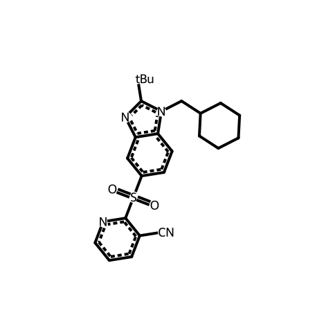 CC(C)(C)c1nc2cc(S(=O)(=O)c3ncccc3C#N)ccc2n1CC1CCCCC1